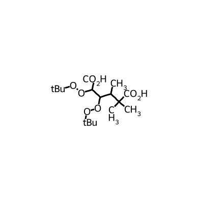 CC(C(OOC(C)(C)C)C(OOC(C)(C)C)C(=O)O)C(C)(C)C(=O)O